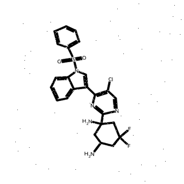 NC1CC(F)(F)CC(N)(c2ncc(Cl)c(-c3cn(S(=O)(=O)c4ccccc4)c4ccccc34)n2)C1